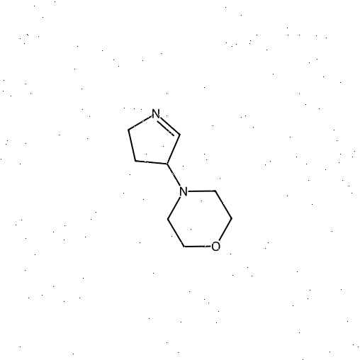 C1=NCCC1N1CCOCC1